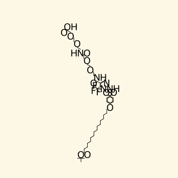 CC(C)(C)OC(=O)CCCCCCCCCCCCCCCOc1ccc(S(=O)(=O)Nc2ncc(C(=O)NCCOCCOCC(=O)NCCOCCOCC(=O)O)c(C(F)(F)F)n2)cc1